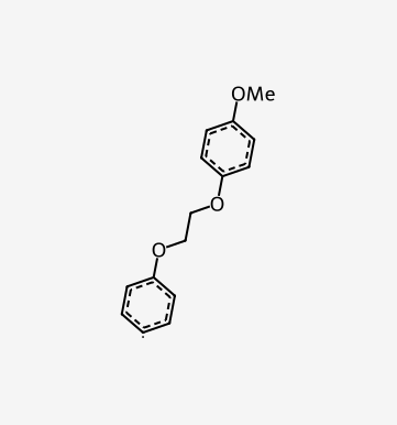 COc1ccc(OCCOc2cc[c]cc2)cc1